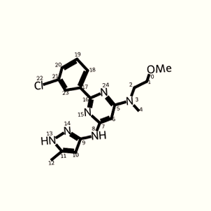 COCCN(C)c1cc(Nc2cc(C)[nH]n2)nc(-c2cccc(Cl)c2)n1